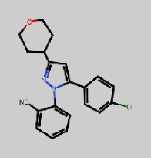 N#Cc1ccccc1-n1nc(C2CCOCC2)cc1-c1ccc(Cl)cc1